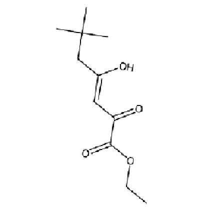 CCOC(=O)C(=O)/C=C(\O)CC(C)(C)C